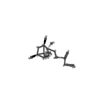 C=CC(=O)OC[C@H]1CC[C@@H]2C[C@H]1C2(C)C